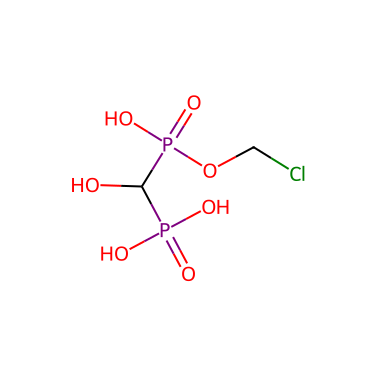 O=P(O)(O)C(O)P(=O)(O)OCCl